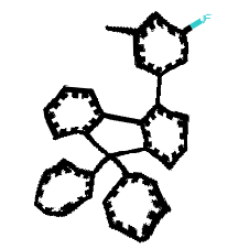 Cc1cc(F)cc(-c2cccc3c2-c2ccccc2C3(c2ccccc2)c2ccccc2)c1